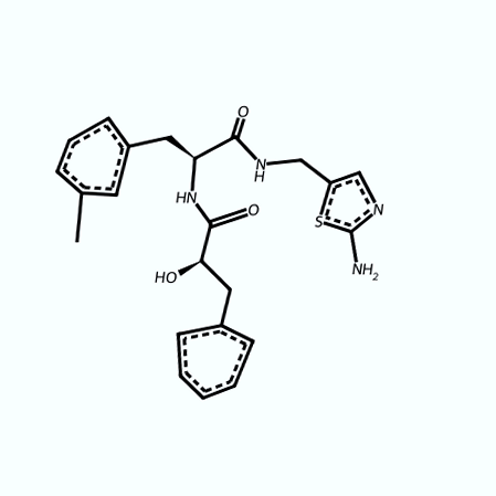 Cc1cccc(C[C@H](NC(=O)[C@H](O)Cc2ccccc2)C(=O)NCc2cnc(N)s2)c1